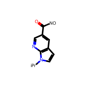 CC(C)n1ccc2cc(C(=O)N=O)cnc21